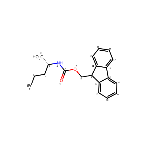 CC(C)CC[C@@H](NC(=O)OCC1c2ccccc2-c2ccccc21)C(=O)O